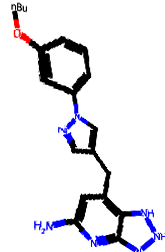 CCCCOc1cccc(-n2cc(Cc3cc(N)nc4c3NNN4)cn2)c1